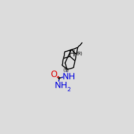 CC1[C@H]2C3CC4CC12C[C@](NC(N)=O)(C4)C3